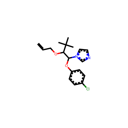 C=CCOC(C(Oc1ccc(Cl)cc1)n1ccnc1)C(C)(C)C